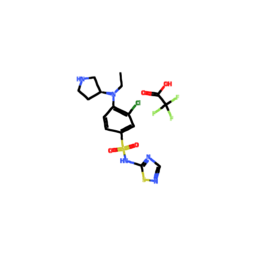 CCN(c1ccc(S(=O)(=O)Nc2ncns2)cc1Cl)[C@H]1CCNC1.O=C(O)C(F)(F)F